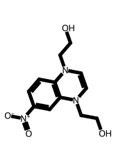 O=[N+]([O-])c1ccc2c(c1)N(CCO)C=CN2CCO